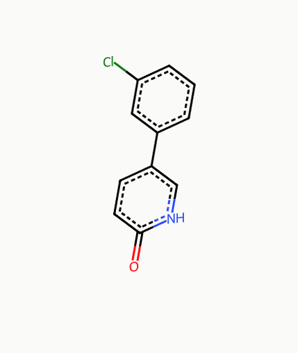 O=c1ccc(-c2cccc(Cl)c2)c[nH]1